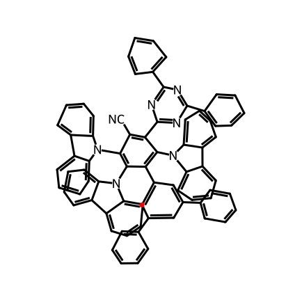 N#Cc1c(-c2nc(-c3ccccc3)nc(-c3ccccc3)n2)c(-n2c3ccccc3c3ccccc32)c(-c2cc(-c3ccccc3)cc(-c3ccccc3)c2)c(-n2c3ccccc3c3ccccc32)c1-n1c2ccccc2c2ccccc21